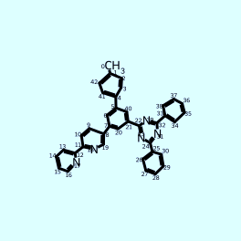 Cc1ccc(-c2cc(-c3ccc(-c4ccccn4)nc3)cc(-c3nc(-c4ccccc4)nc(-c4ccccc4)n3)c2)cc1